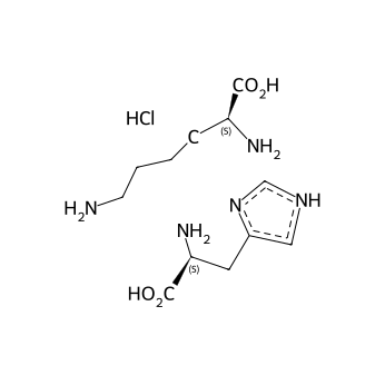 Cl.NCCCC[C@H](N)C(=O)O.N[C@@H](Cc1c[nH]cn1)C(=O)O